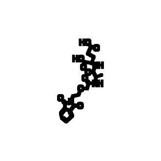 C[C@@H](NC(=O)COCCN1C(=O)c2ccccc2C1=O)C(=O)N[C@H](CCC(=O)O)C(=O)O